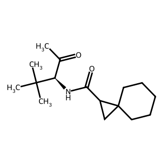 CC(=O)[C@@H](NC(=O)C1CC12CCCCC2)C(C)(C)C